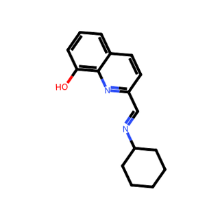 Oc1cccc2ccc(C=NC3CCCCC3)nc12